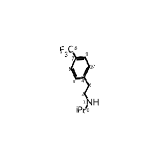 CC(C)NCCc1ccc(C(F)(F)F)cc1